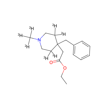 [2H]C([2H])([2H])N1CC([2H])([2H])C(CC(=O)OCC)(Cc2ccccc2)C([2H])([2H])C1